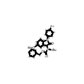 CCCCN(C(=O)OCc1ccccc1)C1C(=O)N(c2ccc(F)cc2)c2ccc(OC)cc21